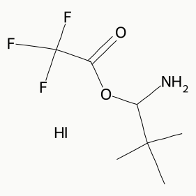 CC(C)(C)C(N)OC(=O)C(F)(F)F.I